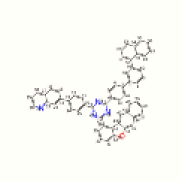 c1cc(-c2ccc(-c3nc(-c4ccc(-c5ccc6cccnc6c5)cc4)nc(-c4cccc5oc6cc7ccccc7cc6c45)n3)cc2)cc(-c2cccc3ccccc23)c1